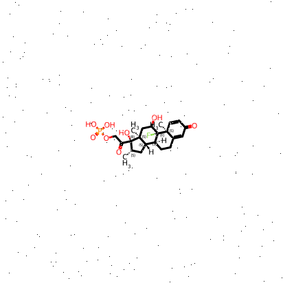 C[C@H]1C[C@H]2[C@@H]3CCC4=CC(=O)C=C[C@]4(C)[C@@]3(F)C(O)C[C@]2(C)[C@@]1(O)C(=O)COP(=O)(O)O